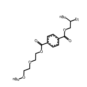 CCCCOCCOCCOC(=O)c1ccc(C(=O)OCC(CC)CCCC)cc1